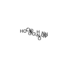 O=C(NCc1ccc(S(=O)(=O)c2cccc(O)c2)cc1)c1cnc2nccn2c1